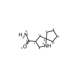 NC(=O)C1CNC2(CCCC2)C1